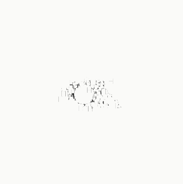 CC[C@H]1OC(=O)C(C)C(=O)[C@H](C)[C@@H](OC2OC(CNCC3CC3)CC(N(C)C)C2O)[C@](C)(OC)C[C@@H](C)CN[C@H](C)[C@H]2NC(=O)O[C@@]21CC